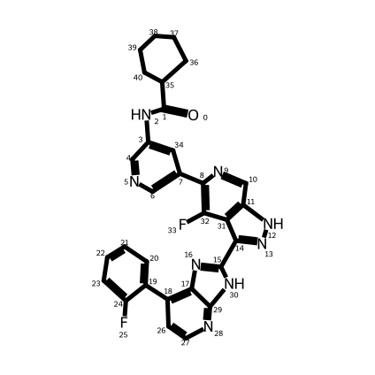 O=C(Nc1cncc(-c2ncc3[nH]nc(-c4nc5c(-c6ccccc6F)ccnc5[nH]4)c3c2F)c1)C1CCCCC1